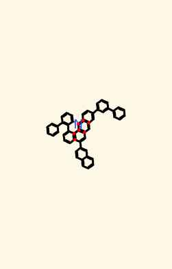 c1ccc(-c2cccc(-c3ccc(N(c4ccc(-c5ccc6ccccc6c5)cc4)c4cccc(-c5ccccc5)c4-c4ccccc4-c4ccccc4)cc3)c2)cc1